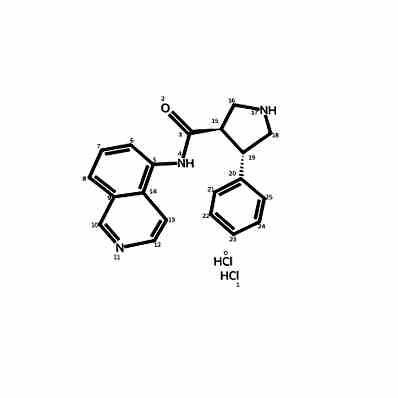 Cl.Cl.O=C(Nc1cccc2cnccc12)[C@H]1CNC[C@@H]1c1ccccc1